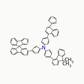 CC1(C)c2ccccc2-c2c(-c3ccc(N(c4ccc(-c5ccc6c(c5)C5(c7ccccc7-c7ccccc75)c5ccccc5-6)cc4)c4ccc(-c5ccc(-c6ccccc6)c6ccccc56)cc4)cc3)cccc21